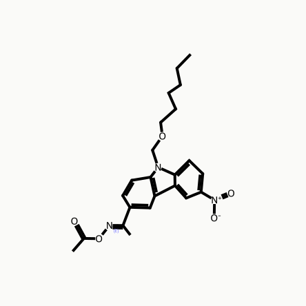 CCCCCCOCn1c2ccc(/C(C)=N/OC(C)=O)cc2c2cc([N+](=O)[O-])ccc21